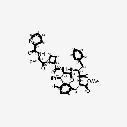 COC(=O)[C@H](Cc1ccc(I)cc1)NC(=O)[C@H](Cc1ccccc1)NC(=O)[C@H](CC(C)C)NC(=O)[C@@H]1CCN1C(=O)[C@@H](NC(=O)c1ccccn1)C(C)C